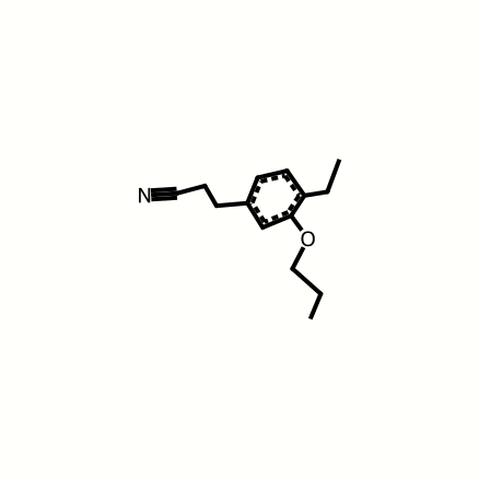 CCCOc1cc(CCC#N)ccc1CC